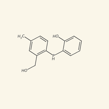 Cc1ccc(Pc2ccccc2O)c(CO)c1